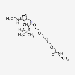 CCNC(=O)COCCOCCOCCO/C(=C/c1ncn(NCC)c1C)CSC(C)(C)C